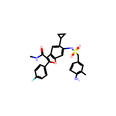 CNC(=O)c1c(-c2ccc(F)cc2)oc2cc(NS(=O)(=O)Cc3ccc(N)c(C)c3)c(C3CC3)cc12